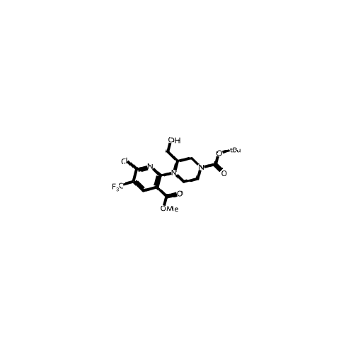 COC(=O)c1cc(C(F)(F)F)c(Cl)nc1N1CCN(C(=O)OC(C)(C)C)CC1CO